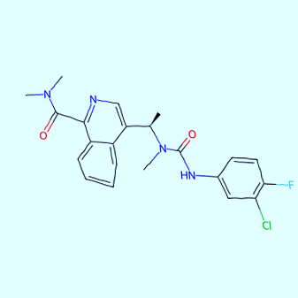 C[C@H](c1cnc(C(=O)N(C)C)c2ccccc12)N(C)C(=O)Nc1ccc(F)c(Cl)c1